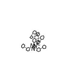 c1ccc(-c2cccc(-c3nc(-c4cccc(-c5ccccc5)c4)nc(-c4ccc5c(c4)C4(c6ccccc6-c6ccccc64)c4ccccc4C54c5ccccc5-c5ccccc54)n3)c2)cc1